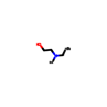 CCCC[CH]N(CC)CCO